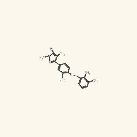 Cc1cc(-c2nn(C)c(Cl)c2C)ccc1OCc1cccc(C)c1N